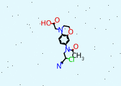 CC(=O)N(CC(Cl)C#N)c1ccc2c(c1)OCCN2CC(=O)O